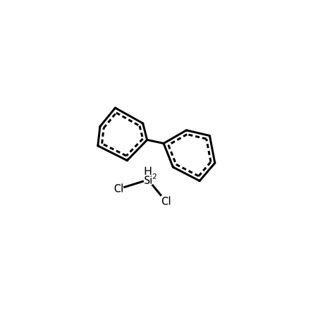 Cl[SiH2]Cl.c1ccc(-c2ccccc2)cc1